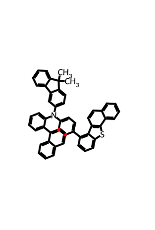 CC1(C)c2ccccc2-c2cc(N(c3ccc(-c4cccc5sc6c7ccccc7ccc6c45)cc3)c3ccccc3-c3cccc4ccccc34)ccc21